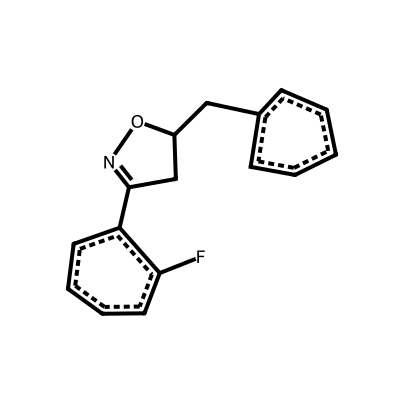 Fc1ccccc1C1=NOC(Cc2ccccc2)C1